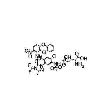 CP(=O)(O)CCC(N)C(=O)O.Cc1nn(-c2cc(NS(C)(=O)=O)c(Cl)cc2Cl)c(=O)n1C(F)F.Nc1c([N+](=O)[O-])ccc(Oc2ccccc2)c1Cl